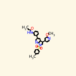 C=CC(=O)Nc1cccc(-c2cnc3c(c2)c(-c2ccnc(OC)c2)cn3S(=O)(=O)c2ccc(C)cc2)c1